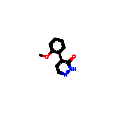 COc1ccccc1-c1ccn[nH]c1=O